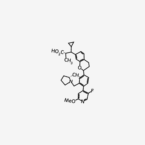 COc1cc(-c2ccc(C3CCc4ccc(C(C5CC5)[C@H](C)C(=O)O)cc4O3)cc2CN2CCC[C@@H]2C)c(F)cn1